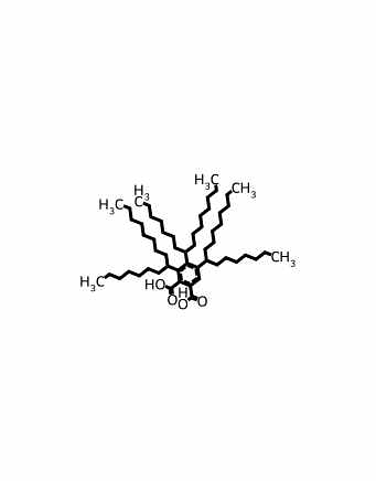 CCCCCCCCC(CCCCCCC)c1cc(C(=O)O)c(C(=O)O)c(C(CCCCCCC)CCCCCCCC)c1C(CCCCCCC)CCCCCCCC